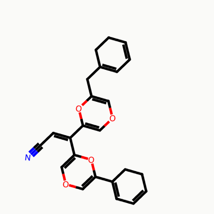 N#CC=C(C1=COC=C(CC2=CC=CCC2)O1)C1=COC=C(C2=CC=CCC2)O1